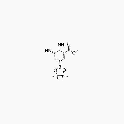 COC(=O)C1=CC(B2OC(C)(C)C(C)(C)O2)=CC(=N)C1=N